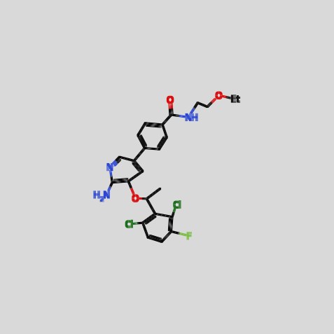 CCOCCNC(=O)c1ccc(-c2cnc(N)c(OC(C)c3c(Cl)ccc(F)c3Cl)c2)cc1